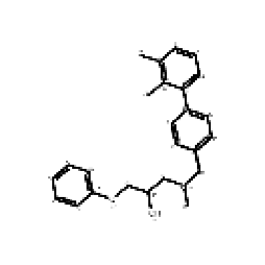 Cc1cccc(-c2ccc(CN(C)CC(O)COc3ccccc3)cc2)c1C